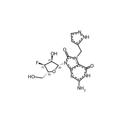 Nc1nc2c(c(=O)[nH]1)n(Cc1ccn[nH]1)c(=O)n2[C@@H]1O[C@H](CO)[C@@H](F)[C@H]1O